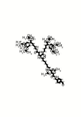 CC(=O)OC(C(=O)NCCCCCCC(=O)NC(CCC(=O)NCCCCC(C(=O)OC(C)(C)C)N(CC(=O)OC(C)(C)C)CC(=O)OC(C)(C)C)C(=O)NCCCCC(C(=O)OC(C)(C)C)N(CC(=O)OC(C)(C)C)CC(=O)OC(C)(C)C)C(OC(C)=O)C(=O)NCc1ccc(C=O)cc1